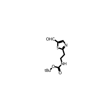 CC(C)(C)OC(=O)NCCc1ncc(C=O)s1